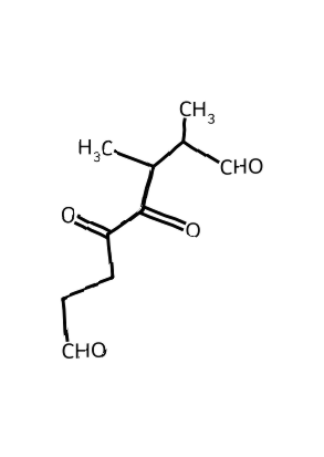 CC(C=O)C(C)C(=O)C(=O)CCC=O